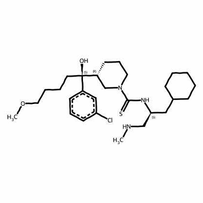 CNC[C@H](CC1CCCCC1)NC(=S)N1CCC[C@@H]([C@@](O)(CCCCOC)c2cccc(Cl)c2)C1